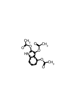 CC(=O)Oc1[nH]c2cccc(OC(C)=O)c2c1OC(C)=O